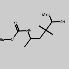 COC(O)C(C)(C)CC(C)NC(=O)OC(C)(C)C